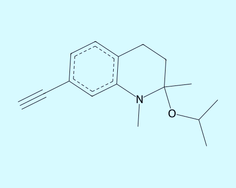 C#Cc1ccc2c(c1)N(C)C(C)(OC(C)C)CC2